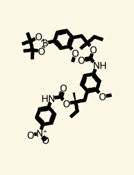 CCC(C)(Cc1ccc(B2OC(C)(C)C(C)(C)O2)cc1OC)OC(=O)Nc1ccc(C[C@](C)(CC)OC(=O)Nc2ccc([N+](=O)[O-])cc2)c(OC)c1